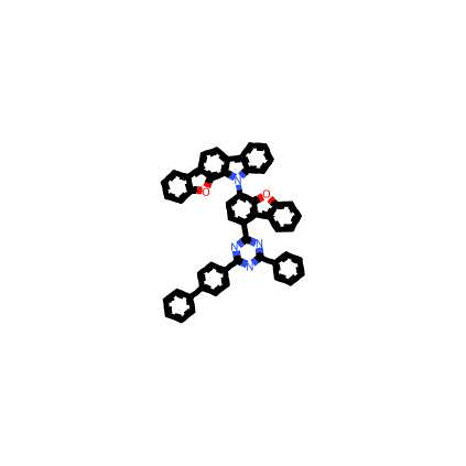 c1ccc(-c2ccc(-c3nc(-c4ccccc4)nc(-c4ccc(-n5c6ccccc6c6ccc7c8ccccc8oc7c65)c5oc6ccccc6c45)n3)cc2)cc1